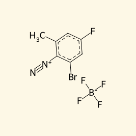 Cc1cc(F)cc(Br)c1[N+]#N.F[B-](F)(F)F